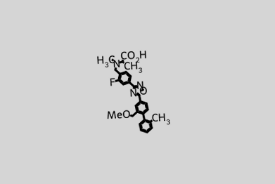 COCc1cc(-c2nc(-c3ccc(CN(C)C(C)C(=O)O)c(F)c3)no2)ccc1-c1ccccc1C